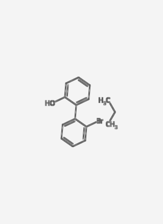 CCC.Oc1ccccc1-c1ccccc1Br